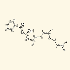 CC(C)=CCCC(C)=CCCC(C)=CC(O)OC(=O)c1ccccc1